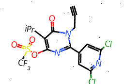 C#CCn1c(-c2cc(Cl)nc(Cl)c2)nc(OS(=O)(=O)C(F)(F)F)c(C(C)C)c1=O